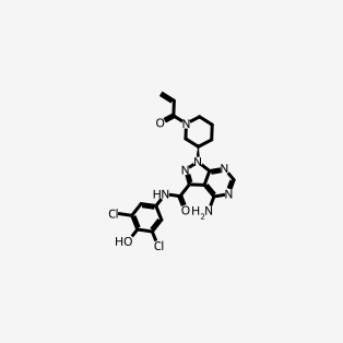 C=CC(=O)N1CCC[C@@H](n2nc(C(=O)Nc3cc(Cl)c(O)c(Cl)c3)c3c(N)ncnc32)C1